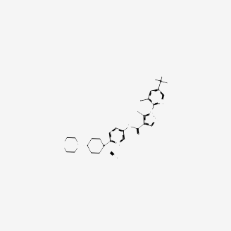 Cc1c(C(=O)Nc2ccc([C@]3(C#N)CC[C@@H](N4CCOCC4)CC3)nc2)cnn1-c1ncc(C(F)(F)F)cc1Cl